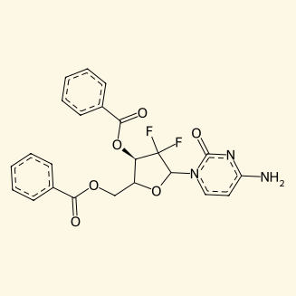 Nc1ccn(C2OC(COC(=O)c3ccccc3)[C@@H](OC(=O)c3ccccc3)C2(F)F)c(=O)n1